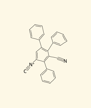 [C-]#[N+]c1cc(-c2ccccc2)c(-c2ccccc2)c(C#N)c1-c1ccccc1